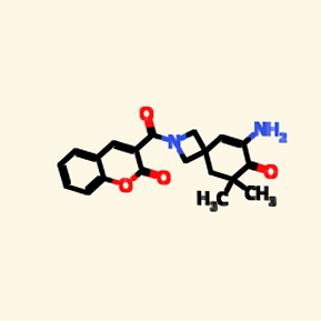 CC1(C)CC2(C=C(N)C1=O)CN(C(=O)c1cc3ccccc3oc1=O)C2